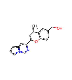 C=C1C=C(c2cc3cccn3cn2)Oc2ccc(CO)cc21